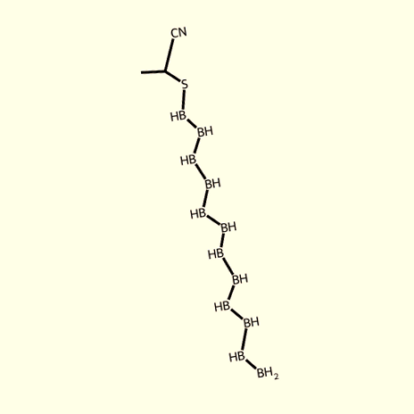 BBBBBBBBBBBBSC(C)C#N